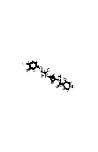 O=C(COc1ccc(Cl)c(F)c1)NC12CC(NC(=O)C3CCNCC3F)(C1)C2